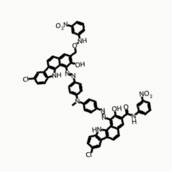 CN(c1ccc(N=Nc2c(O)c(CONc3cccc([N+](=O)[O-])c3)cc3ccc4c5cc(Cl)ccc5[nH]c4c23)cc1)c1ccc(N=Nc2c(O)c(C(=O)Nc3cccc([N+](=O)[O-])c3)cc3ccc4c5cc(Cl)ccc5[nH]c4c23)cc1